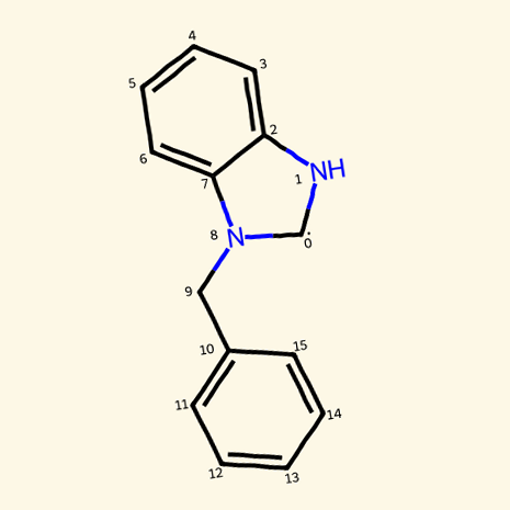 [CH]1Nc2ccccc2N1Cc1ccccc1